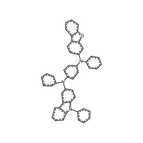 c1ccc(N(c2ccc(N(c3ccccc3)c3ccc4c(c3)c3ccccc3n4-c3ccccc3)cc2)c2ccc3c(c2)oc2ccccc23)cc1